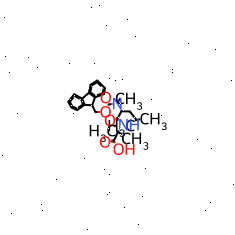 CC(C)CC(C(=O)NC(C)(C)C(=O)O)N(C)C(=O)OCC1c2ccccc2-c2ccccc21